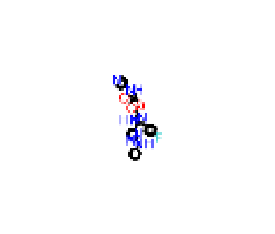 CC1(C(=O)Nc2ccncc2)COC(c2nc(-c3ccc(F)cc3)c(-c3ccnc(NC4CCCCC4)n3)[nH]2)OC1